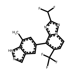 Cc1cc(-c2c(C(F)(F)F)ccn3nc(C(F)F)nc23)cc2cn[nH]c12